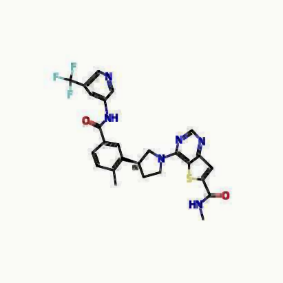 CNC(=O)c1cc2ncnc(N3CC[C@@H](c4cc(C(=O)Nc5cncc(C(F)(F)F)c5)ccc4C)C3)c2s1